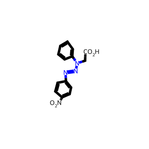 O=C(O)CN(N=Nc1ccc([N+](=O)[O-])cc1)c1ccccc1